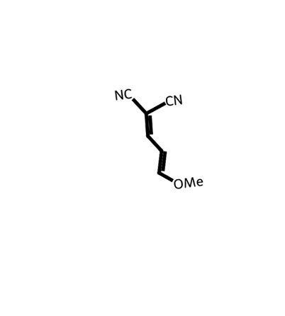 COC=CC=C(C#N)C#N